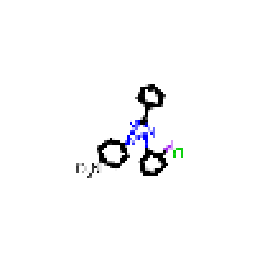 O=[N+]([O-])c1ccc(-[n+]2nc(-c3ccccc3)nn2-c2ccccc2I)cc1.[Cl-]